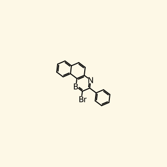 Brc1bc2c(ccc3ccccc32)nc1-c1ccccc1